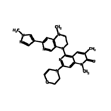 Cc1cc2c(N3CCN(C)c4cc(-c5cnn(C)c5)ncc43)nc(N3CCOCC3)cc2n(C)c1=O